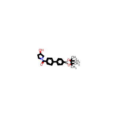 CC1(C)OB(c2ccc(-c3ccc(C(=O)N4CCC(O)C4)cc3)cc2)OC1(C)C